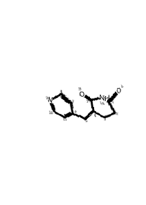 O=C1CCC(Cc2ccncc2)C(=O)N1